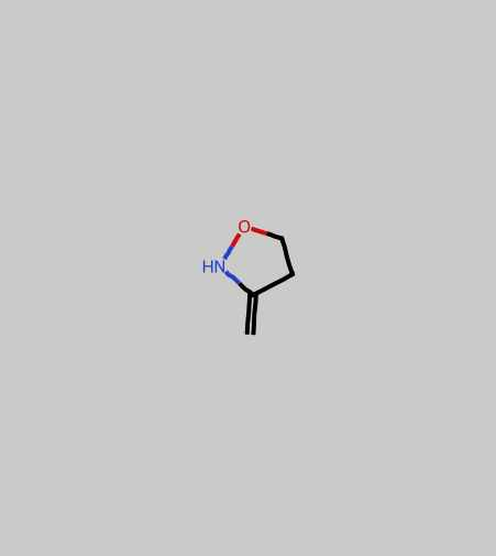 C=C1CCON1